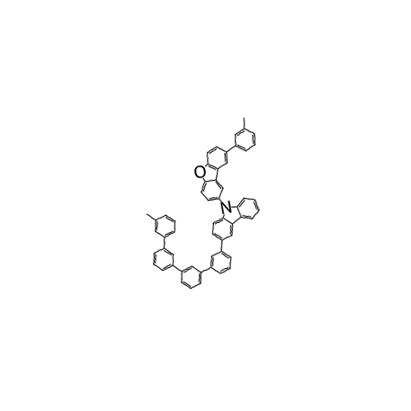 Cc1cccc(-c2cccc(-c3cccc(-c4cccc(-c5ccc6c(c5)c5ccccc5n6-c5ccc6oc7ccc(-c8cccc(C)c8)cc7c6c5)c4)c3)c2)c1